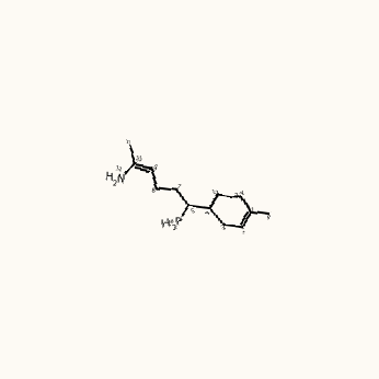 CC1=CCC(C(P)CC/C=C(/C)N)CC1